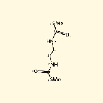 CSC(=O)NCCNC(=O)SC